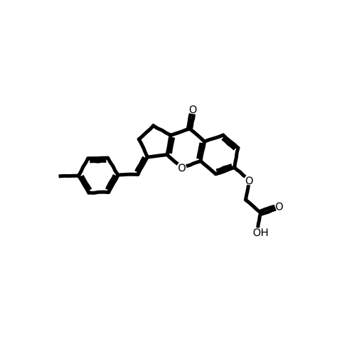 Cc1ccc(C=C2CCc3c2oc2cc(OCC(=O)O)ccc2c3=O)cc1